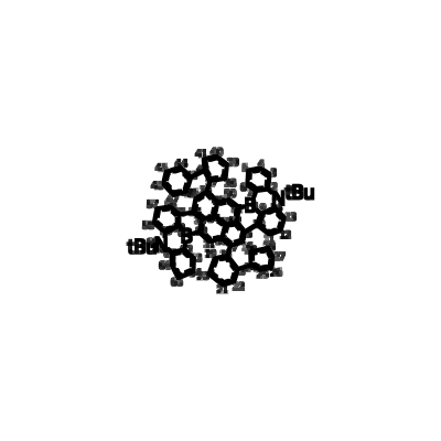 CC(C)(C)N1c2ccccc2B2c3c(cccc31)-c1cc(-c3ccccc3-c3ccccc3)c3cc4c5c(cc(-c6ccccc6-c6ccccc6)c6cc2c1c3c65)-c1cccc2c1B4c1ccccc1N2C(C)(C)C